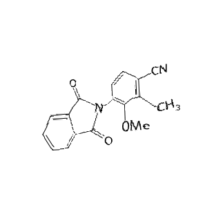 COc1c(N2C(=O)c3ccccc3C2=O)ccc(C#N)c1C